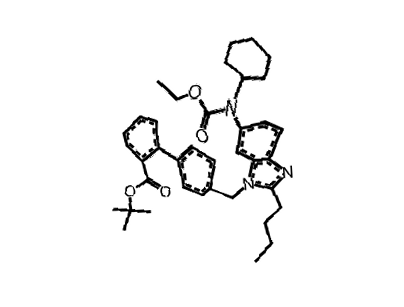 CCCCc1nc2ccc(N(C(=O)OCC)C3CCCCC3)cc2n1Cc1ccc(-c2ccccc2C(=O)OC(C)(C)C)cc1